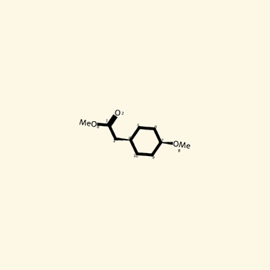 COC(=O)C[C@H]1CC[C@@H](OC)CC1